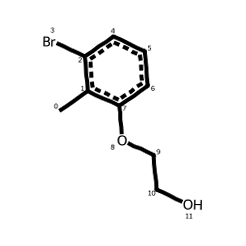 Cc1c(Br)cccc1OCCO